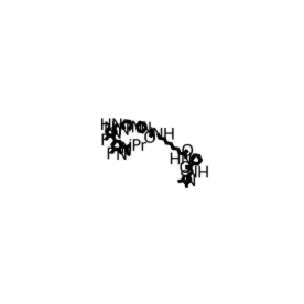 Cc1nc(NC(=O)c2ccccc2NC(=O)CCCCCCCNC(=O)CN2CCN(c3ccc(Nc4ncc(F)c(-c5cc(F)c6nc(C)n(C(C)C)c6c5)n4)nc3)CC2)sc1C